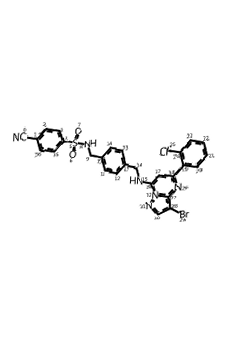 N#Cc1ccc(S(=O)(=O)NCc2ccc(CNc3cc(-c4ccccc4Cl)nc4c(Br)cnn34)cc2)cc1